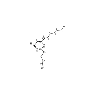 CCCCCCOC(=CC(C)=O)OCCCCCC